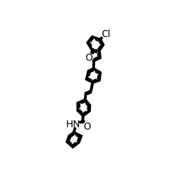 O=C(Nc1ccccc1)c1ccc(C=Cc2ccc(-c3cc4cc(Cl)ccc4o3)cc2)cc1